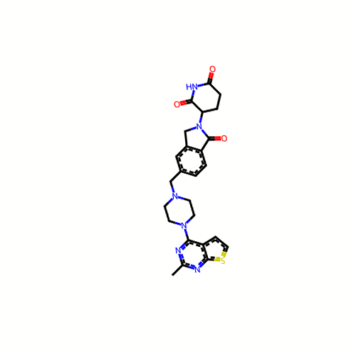 Cc1nc(N2CCN(Cc3ccc4c(c3)CN(C3CCC(=O)NC3=O)C4=O)CC2)c2ccsc2n1